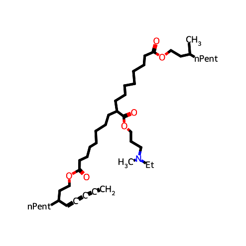 C=C=C=C=CC(CCCCC)CCOC(=O)CCCCCCCC(CCCCCCCC(=O)OCCC(C)CCCCC)C(=O)OCCCN(C)CC